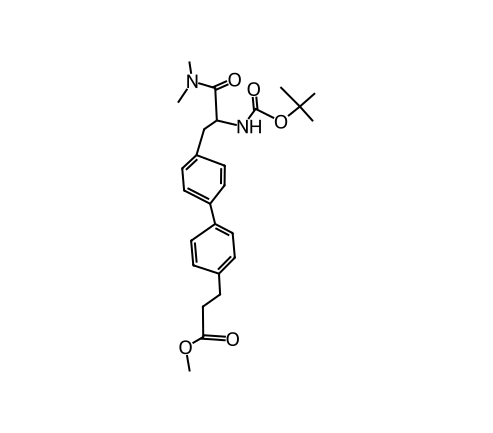 COC(=O)CCc1ccc(-c2ccc(CC(NC(=O)OC(C)(C)C)C(=O)N(C)C)cc2)cc1